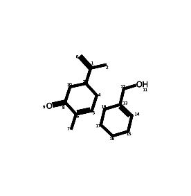 C=C(C)C1CC=C(C)C(=O)C1.OCC1=CCCCC1